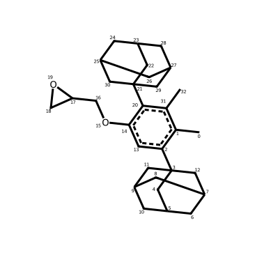 Cc1c(C23CC4CC(CC(C4)C2)C3)cc(OCC2CO2)c(C23CC4CC(CC(C4)C2)C3)c1C